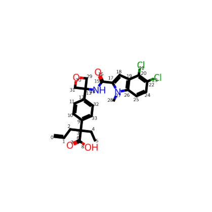 C=CCC(CC)(C(=O)O)c1ccc(C2(NC(=O)c3cc4c(Cl)c(Cl)ccc4n3C)COC2)cc1